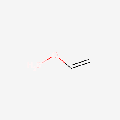 BOC=C